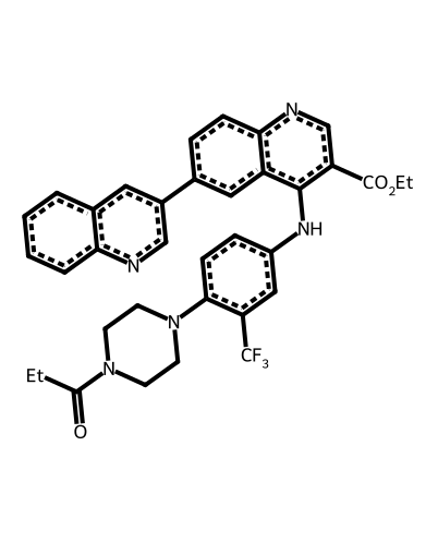 CCOC(=O)c1cnc2ccc(-c3cnc4ccccc4c3)cc2c1Nc1ccc(N2CCN(C(=O)CC)CC2)c(C(F)(F)F)c1